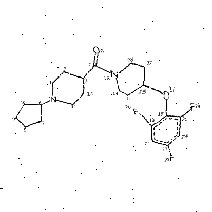 O=C(C1CCN(C2CCCC2)CC1)N1CCC(Oc2c(F)cc(F)cc2F)CC1